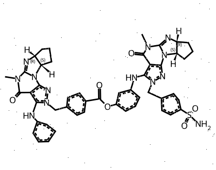 CN1C(=O)c2c(nn(Cc3ccc(C(=O)Oc4cccc(Nc5c6c(nn5Cc5ccc(S(N)(=O)=O)cc5)N5C(=N[C@@H]7CCC[C@@H]75)N(C)C6=O)c4)cc3)c2Nc2ccccc2)N2C1=N[C@@H]1CCC[C@@H]12